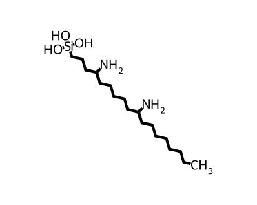 CCCCCCCCC(N)CCCCCC(N)CCC[Si](O)(O)O